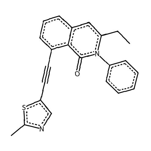 CCc1cc2cccc(C#Cc3cnc(C)s3)c2c(=O)n1-c1ccccc1